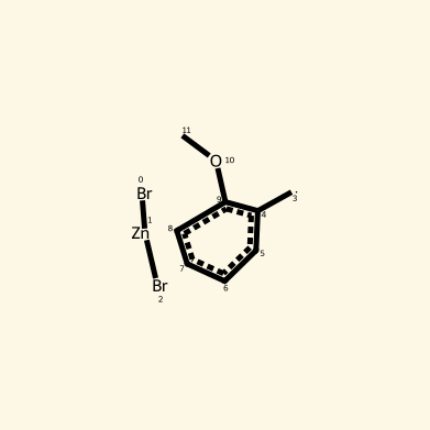 [Br][Zn][Br].[CH2]c1ccccc1OC